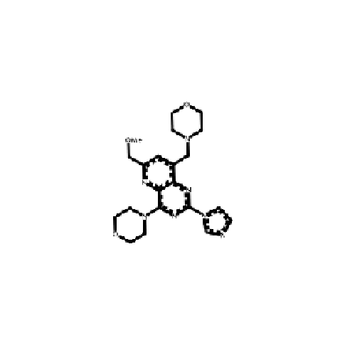 COCc1cc(CN2CCOCC2)c2nc(-n3ccnc3)nc(N3CCOCC3)c2n1